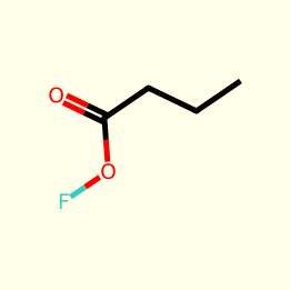 CCCC(=O)OF